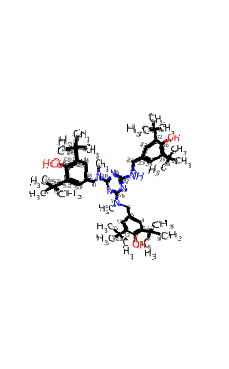 CN(Cc1cc(C(C)(C)C)c(O)c(C(C)(C)C)c1)c1nc(NCc2cc(C(C)(C)C)c(O)c(C(C)(C)C)c2)nc(N(C)Cc2cc(C(C)(C)C)c(O)c(C(C)(C)C)c2)n1